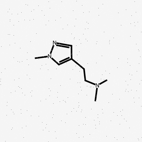 CN(C)CCc1cnn(C)c1